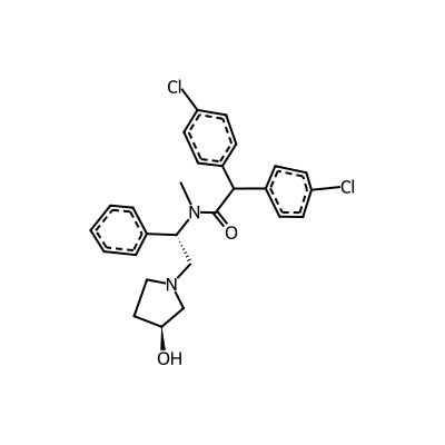 CN(C(=O)C(c1ccc(Cl)cc1)c1ccc(Cl)cc1)[C@H](CN1CC[C@H](O)C1)c1ccccc1